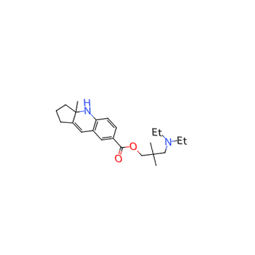 CCN(CC)CC(C)(C)COC(=O)c1ccc2c(c1)C=C1CCCC1(C)N2